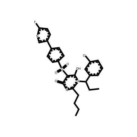 CCCCc1nc(=O)c(S(=O)(=O)c2ccc(-c3ccc(F)nc3)cc2)c(O)n1C(CC)c1cccc(Cl)c1